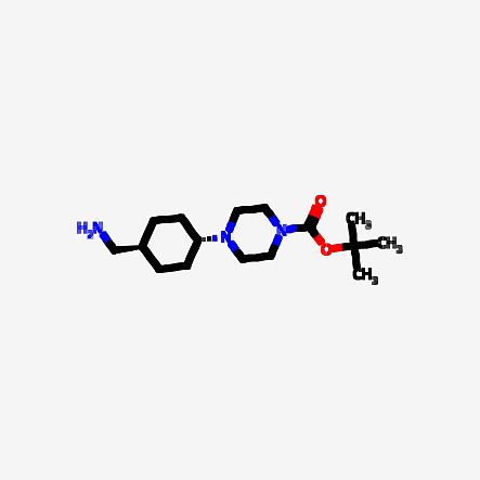 CC(C)(C)OC(=O)N1CCN([C@H]2CC[C@H](CN)CC2)CC1